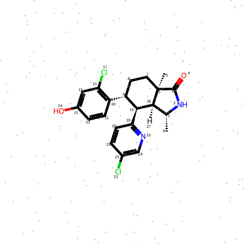 C[C@H]1NC(=O)[C@]2(C)CC[C@@H](c3ccc(O)cc3Cl)[C@H](c3ccc(Cl)cn3)[C@H]12